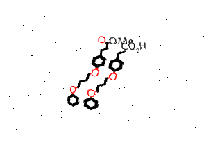 COC(=O)CCc1ccc(OCCCCOc2ccccc2)cc1.O=C(O)CCc1ccc(OCCCCOc2ccccc2)cc1